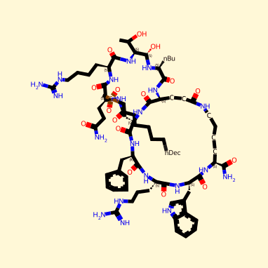 CCCCCCCCCCCCCCCC(=O)N[C@@H](CCC(N)=O)C(=O)N[C@@H](CCCCNC(=N)N)C(=O)N[C@@H](C(C)O)[C@H](O)N[C@@H](CCCC)C(=O)N[C@H]1CCC(=O)NCCCC[C@@H](C(N)=O)NC(=O)[C@H](Cc2c[nH]c3ccccc23)NC(=O)[C@H](CCCNC(=N)N)NC(=O)[C@@H](Cc2ccccc2)NC(=O)[C@H](CCS(C)(=O)=O)NC1=O